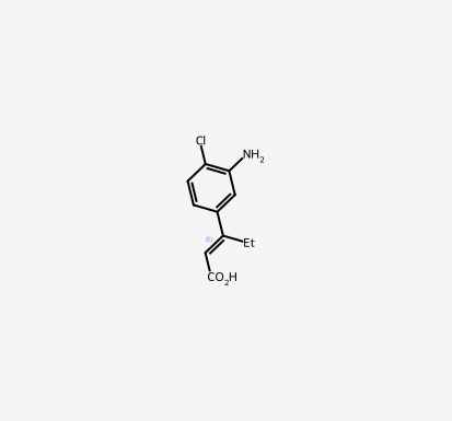 CC/C(=C\C(=O)O)c1ccc(Cl)c(N)c1